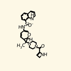 CC1(N2CCN(C(=O)C3=CCN3)CC2)C2C=CC(N[S+]([O-])c3cccc4c3NCC=C4)=CO[C@@H]21